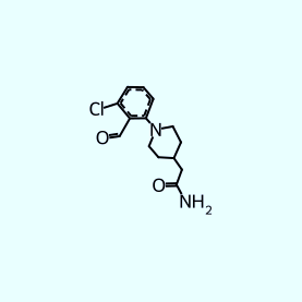 NC(=O)CC1CCN(c2cccc(Cl)c2C=O)CC1